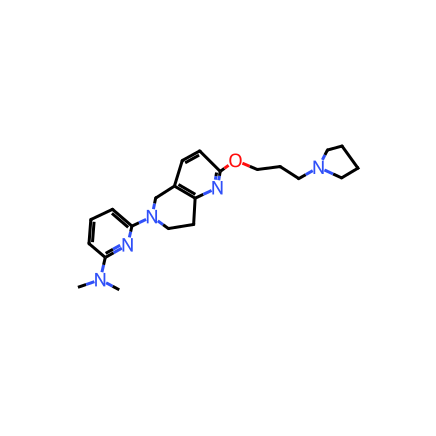 CN(C)c1cccc(N2CCc3nc(OCCCN4CCCC4)ccc3C2)n1